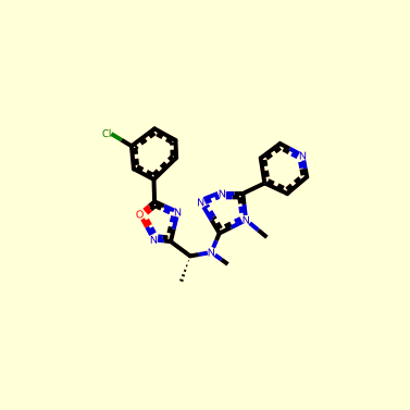 C[C@H](c1noc(-c2cccc(Cl)c2)n1)N(C)c1nnc(-c2ccncc2)n1C